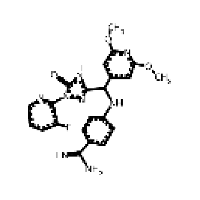 COc1cc(C(Nc2ccc(C(=N)N)cc2)c2nn(-c3ncccc3F)c(=O)[nH]2)cc(OC)n1